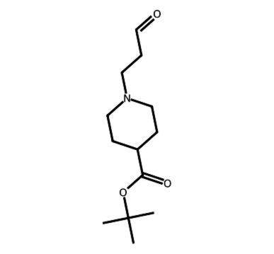 CC(C)(C)OC(=O)C1CCN(CCC=O)CC1